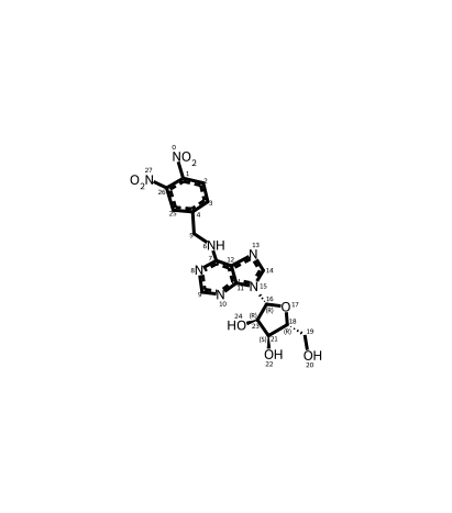 O=[N+]([O-])c1ccc(CNc2ncnc3c2ncn3[C@@H]2O[C@H](CO)[C@@H](O)[C@H]2O)cc1[N+](=O)[O-]